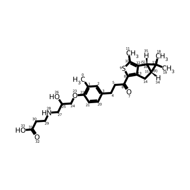 Cc1cc(CCC(=O)c2sc(C)c3c2C[C@@H]2[C@H]3C2(C)C)ccc1OCC(O)CNCCC(=O)O